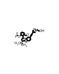 CN(C)C1CC(c2c(C=O)cccc2OC(F)F)n2c1nc1ccc(C#Cc3cnn(CCO)c3)cc12